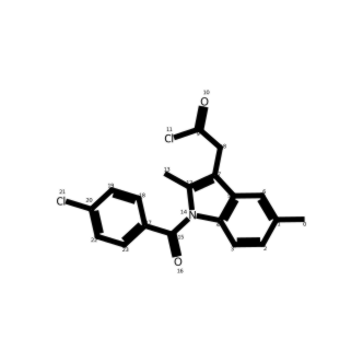 Cc1ccc2c(c1)c(CC(=O)Cl)c(C)n2C(=O)c1ccc(Cl)cc1